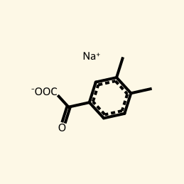 Cc1ccc(C(=O)C(=O)[O-])cc1C.[Na+]